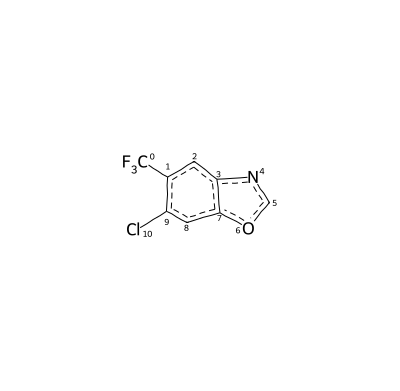 FC(F)(F)c1cc2ncoc2cc1Cl